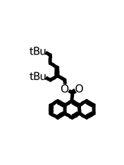 CC(C)(C)CCC=C(COC(=O)c1c2ccccc2cc2ccccc12)CC(C)(C)C